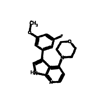 COc1cc(F)cc(-c2c[nH]c3nccc(N4CCOCC4)c23)c1